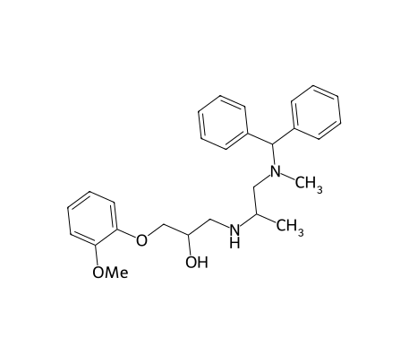 COc1ccccc1OCC(O)CNC(C)CN(C)C(c1ccccc1)c1ccccc1